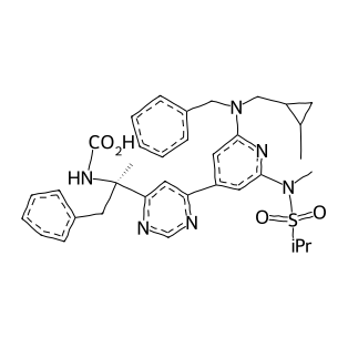 CC1CC1CN(Cc1ccccc1)c1cc(-c2cc([C@@](C)(Cc3ccccc3)NC(=O)O)ncn2)cc(N(C)S(=O)(=O)C(C)C)n1